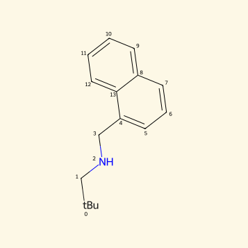 CC(C)(C)CNCc1cccc2ccccc12